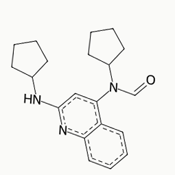 O=CN(c1cc(NC2CCCC2)nc2ccccc12)C1CCCC1